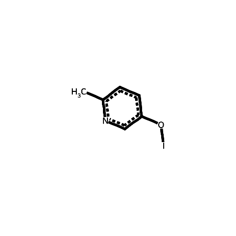 Cc1ccc(OI)cn1